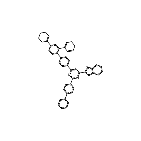 C1=CC(c2cc(C3=CCCCC3)ccc2-c2ccc(-c3nc(-c4ccc(-c5ccccc5)cc4)nc(-c4cc5ccccc5s4)n3)cc2)=CCC1